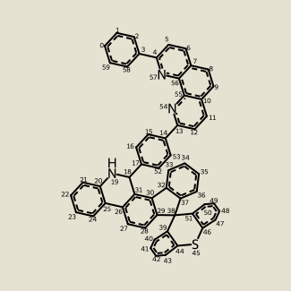 c1ccc(-c2ccc3ccc4ccc(-c5ccc(C6Nc7ccccc7-c7ccc8c(c76)-c6ccccc6C86c7ccccc7Sc7ccccc76)cc5)nc4c3n2)cc1